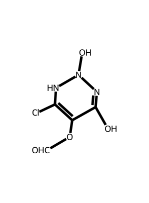 O=COC1=C(Cl)NN(O)N=C1O